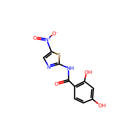 O=C(Nc1ncc([N+](=O)[O-])s1)c1ccc(O)cc1O